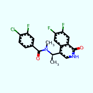 C[C@H](c1c[nH]c(=O)c2cc(F)c(F)cc12)N(C)C(=O)c1ccc(Cl)c(F)c1